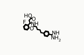 N=C(N)c1ccc(CCCCC(=O)NC(CC(=O)O)c2ccccc2F)cc1